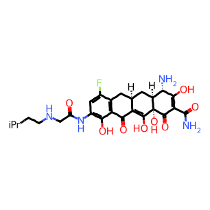 CC(C)CCNCC(=O)Nc1cc(F)c2c(c1O)C(=O)C1=C(O)[C@]3(O)C(=O)C(C(N)=O)=C(O)[C@@H](N)[C@@H]3C[C@@H]1C2